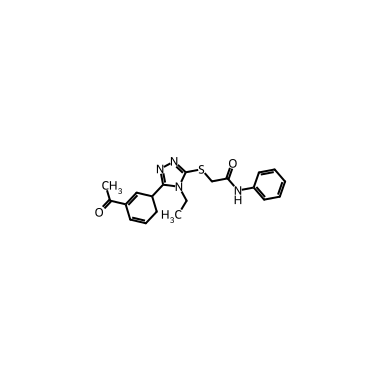 CCn1c(SCC(=O)Nc2ccccc2)nnc1C1C=C(C(C)=O)C=CC1